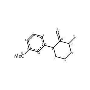 COc1cccc(C2CCCC(C)C2=O)c1